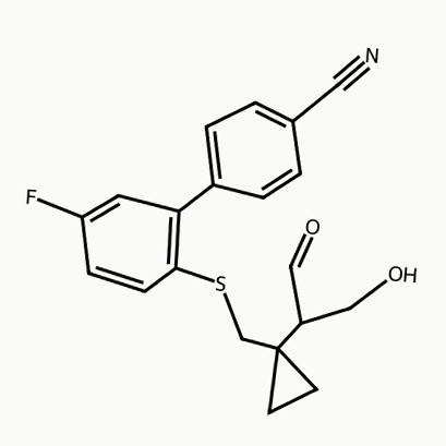 N#Cc1ccc(-c2cc(F)ccc2SCC2(C(C=O)CO)CC2)cc1